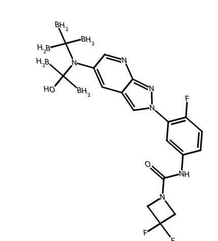 BC(B)(B)N(c1cnc2nn(-c3cc(NC(=O)N4CC(F)(F)C4)ccc3F)cc2c1)C(B)(B)O